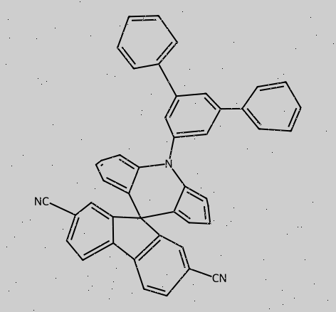 N#Cc1ccc2c(c1)C1(c3cc(C#N)ccc3-2)c2ccccc2N(c2cc(-c3ccccc3)cc(-c3ccccc3)c2)c2ccccc21